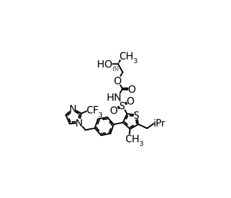 Cc1c(CC(C)C)sc(S(=O)(=O)NC(=O)OC[C@H](C)O)c1-c1ccc(Cn2ccnc2C(F)(F)F)cc1